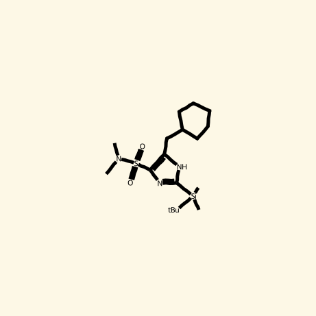 CN(C)S(=O)(=O)c1nc([Si](C)(C)C(C)(C)C)[nH]c1CC1CCCCC1